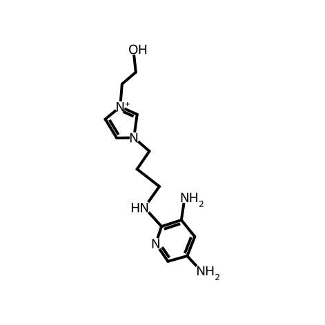 Nc1cnc(NCCCn2cc[n+](CCO)c2)c(N)c1